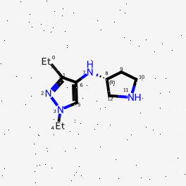 CCc1nn(CC)cc1N[C@@H]1CCNC1